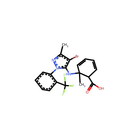 Cc1nn(-c2ccccc2C(F)(F)F)c(NC2(C)C=CC=CC2C(=O)O)c1Br